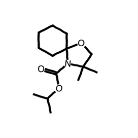 CC(C)OC(=O)N1C(C)(C)COC12CCCCC2